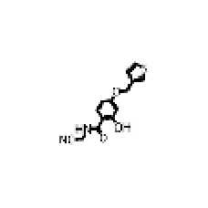 N#CCNC(=O)c1ccc(OCc2ccsc2)cc1O